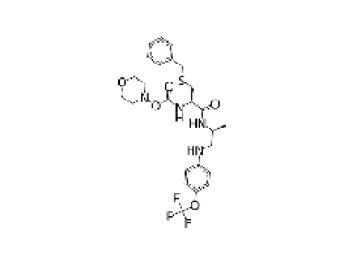 C[C@@H](CNc1ccc(OC(F)(F)F)cc1)NC(=O)[C@H](CSCc1ccccc1)NC(=O)ON1CCOCC1